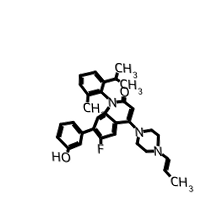 CC=CN1CCN(c2cc(=O)n(-c3c(C)cccc3C(C)C)c3cc(-c4cccc(O)c4)c(F)cc23)CC1